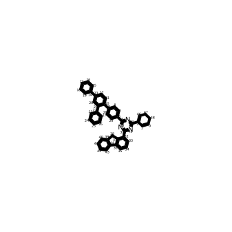 C1=CC(c2nc(-c3ccc(-c4ccc(-c5ccccc5)cc4-c4ccccc4)cc3)nc(-c3cccc4c3Cc3ccccc3-4)n2)=CCC1